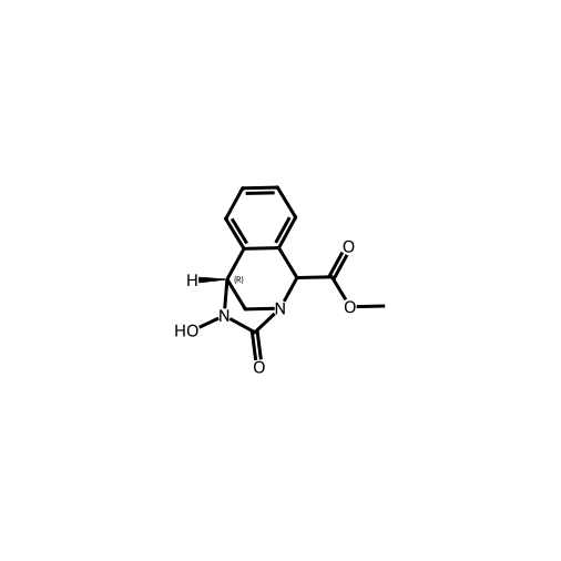 COC(=O)C1c2ccccc2[C@@H]2CN1C(=O)N2O